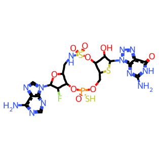 Nc1nc2c(nnn2C2SC3CO[P@](=O)(S)OC4C(CNS(=O)(=O)OC3C2O)OC(n2cnc3c(N)ncnc32)C4F)c(=O)[nH]1